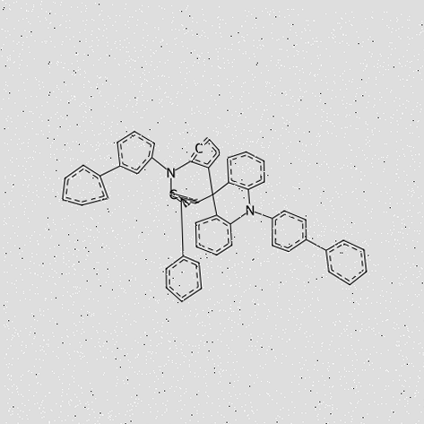 c1ccc(-c2ccc(N3c4ccccc4C4(c5ccccc53)c3ccccc3N(c3cccc(-c5ccccc5)c3)c3ccc(-c5ccccc5)cc34)cc2)cc1